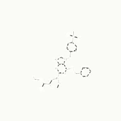 C=NN(/C=C(\C)C(=O)OCC)c1nc(OCc2ccccc2)c2c(ncn2Cc2ccc(S(C)(=O)=O)cc2)n1